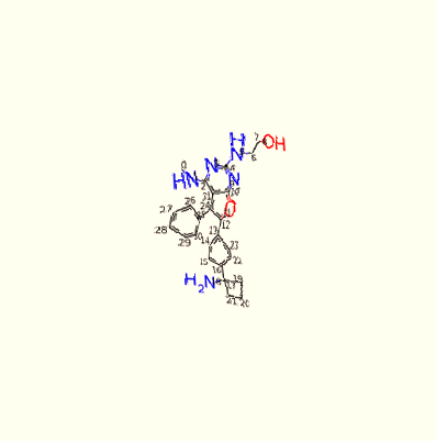 CNc1nc(NCCO)nc2oc(-c3ccc(C4(N)CCC4)cc3)c(-c3ccccc3)c12